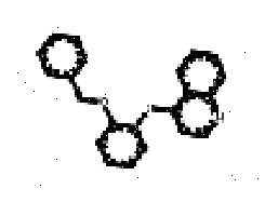 c1ccc(COc2ccccc2Oc2ccnc3ccccc23)cc1